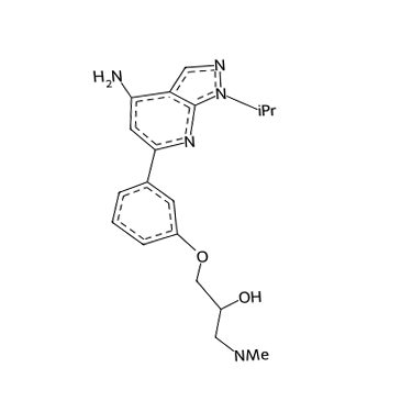 CNCC(O)COc1cccc(-c2cc(N)c3cnn(C(C)C)c3n2)c1